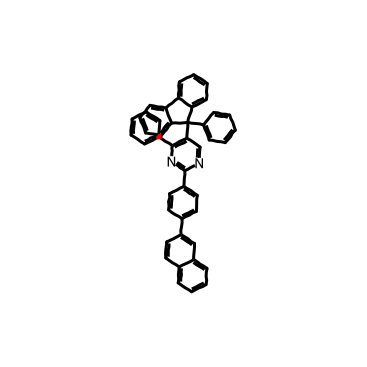 c1ccc(-c2nc(-c3ccc(-c4ccc5ccccc5c4)cc3)ncc2C2(c3ccccc3)c3ccccc3-c3ccccc32)cc1